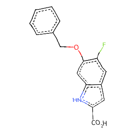 O=C(O)c1cc2cc(F)c(OCc3ccccc3)cc2[nH]1